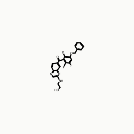 O=C(c1ccc2ncc(NCCO)nc2c1)c1c(F)c(F)cc(OCc2ccccc2)c1F